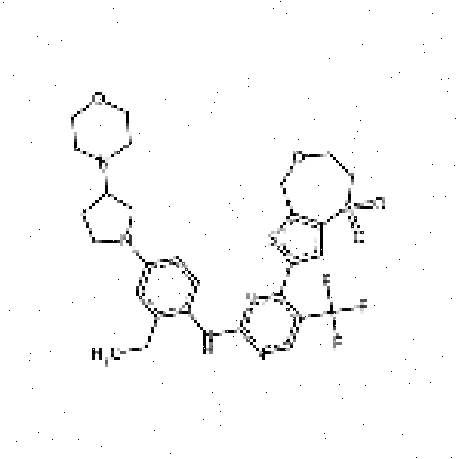 CCc1cc(N2CCC(N3CCOCC3)C2)ccc1Nc1ncc(C(F)(F)F)c(-c2cc3c(s2)COCCS3(=O)=O)n1